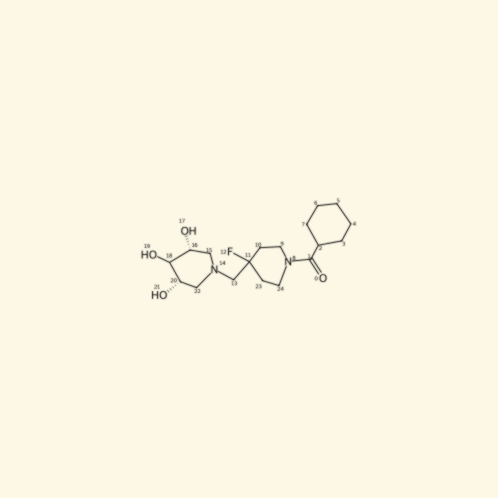 O=C(C1CCCCC1)N1CCC(F)(CN2C[C@@H](O)C(O)[C@@H](O)C2)CC1